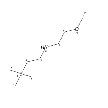 CS(C)(C)CCNCCOI